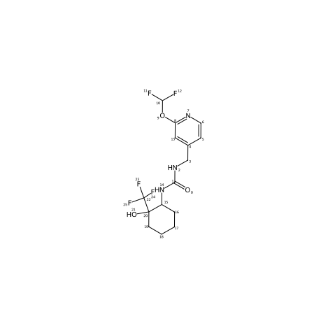 O=C(NCc1ccnc(OC(F)F)c1)NC1CCCCC1(O)C(F)(F)F